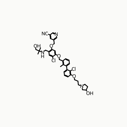 Cc1c(COc2cc(OCc3cncc(C#N)c3)c(CNC(C)(C)CO)cc2Cl)cccc1-c1cccc(OCCCN2CCC(O)C2)c1Cl